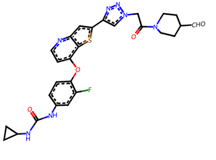 O=CC1CCN(C(=O)Cn2cc(-c3cc4nccc(Oc5ccc(NC(=O)NC6CC6)cc5F)c4s3)nn2)CC1